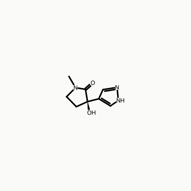 CN1CC[C@@](O)(c2cn[nH]c2)C1=O